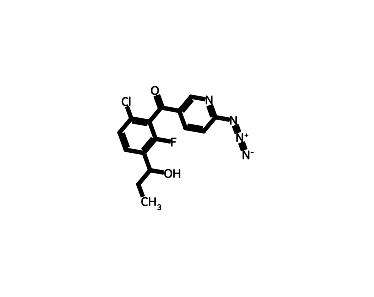 CCC(O)c1ccc(Cl)c(C(=O)c2ccc(N=[N+]=[N-])nc2)c1F